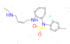 CCNC/C=C\CNc1ccccc1N(c1ccc(C)cc1F)[SH](=O)=O